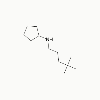 CC(C)(C)CCCNC1CCCC1